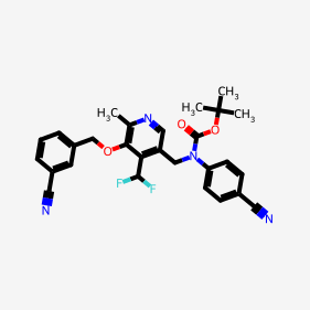 Cc1ncc(CN(C(=O)OC(C)(C)C)c2ccc(C#N)cc2)c(C(F)F)c1OCc1cccc(C#N)c1